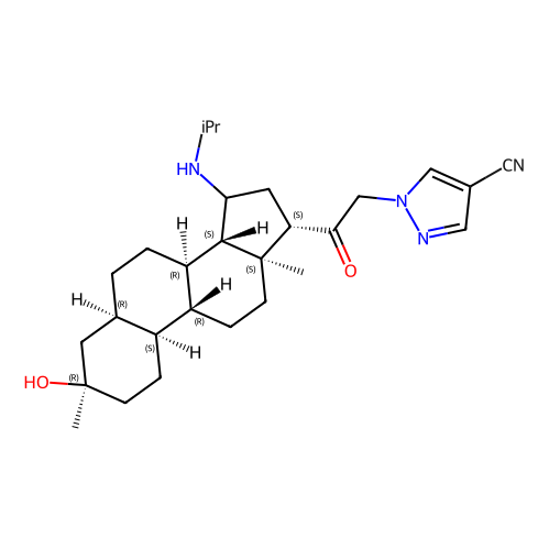 CC(C)NC1C[C@H](C(=O)Cn2cc(C#N)cn2)[C@@]2(C)CC[C@H]3[C@@H](CC[C@@H]4C[C@](C)(O)CC[C@@H]43)[C@H]12